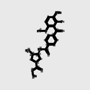 CCCOc1ccc(OC)c(F)c1C(=O)c1ccc(C(=O)N[C@@H]2CN(C(=O)OC(C)(C)C)C[C@H]2N)cc1